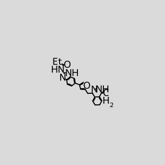 C=C1NN=C(Cc2cc(-c3ccc4nc(NC(=O)CC)[nH]c4c3)co2)C2=CCCC=C12